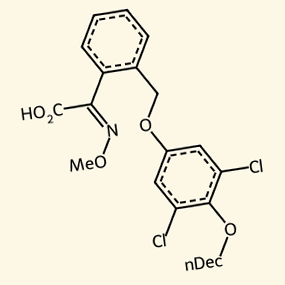 CCCCCCCCCCOc1c(Cl)cc(OCc2ccccc2C(=NOC)C(=O)O)cc1Cl